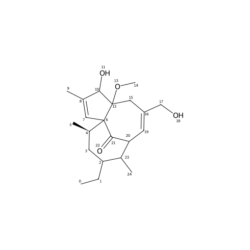 CCC1C[C@@H](C)C23C=C(C)C(O)C2(OC)CC(CO)=CC(C3=O)C1C